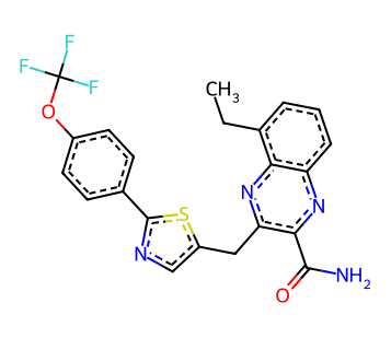 CCc1cccc2nc(C(N)=O)c(Cc3cnc(-c4ccc(OC(F)(F)F)cc4)s3)nc12